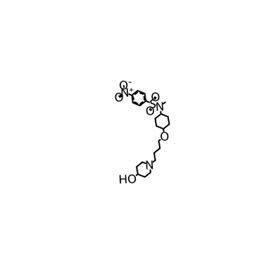 CN(C1CCC(OCCCCN2CCC(O)CC2)CC1)S(=O)(=O)c1ccc([N+](=O)[O-])cc1